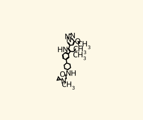 COc1cc(-c2[nH]c3ccc(C4CCC(NC(=O)CN(C)C5CC5)CC4)cc3c2C(C)C)cn2ncnc12